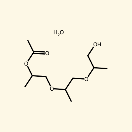 CC(=O)OC(C)COC(C)COC(C)CO.O